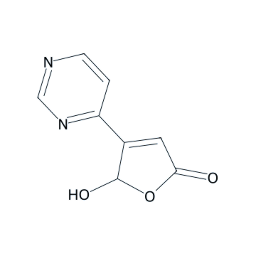 O=C1C=C(c2ccncn2)C(O)O1